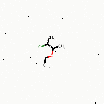 C[CH]OC(C)C(C)Cl